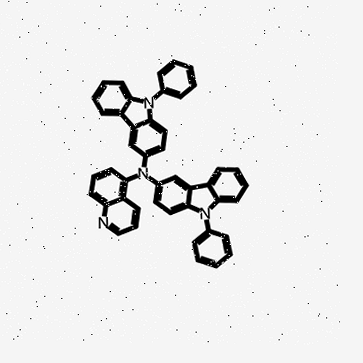 c1ccc(-n2c3ccccc3c3cc(N(c4ccc5c(c4)c4ccccc4n5-c4ccccc4)c4cccc5ncccc45)ccc32)cc1